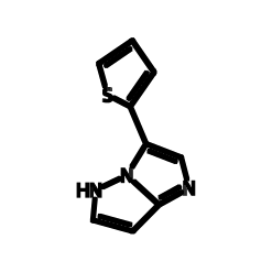 c1csc(-c2cnc3cc[nH]n23)c1